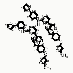 Cc1cc(OC2CCC(CC#N)(n3cc(-c4ccnc(Nc5ccc(-n6cccn6)cc5)n4)cn3)CC2)no1.Cc1cc(OC2CCC(CC#N)(n3cc(-c4ccnc(Nc5cccc(-c6cnco6)c5)n4)cn3)CC2)no1